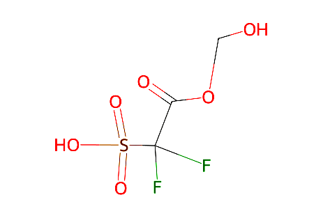 O=C(OCO)C(F)(F)S(=O)(=O)O